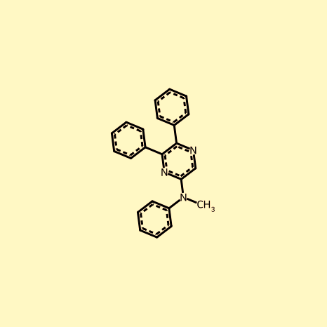 CN(c1ccccc1)c1cnc(-c2ccccc2)c(-c2ccccc2)n1